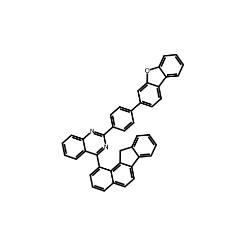 c1ccc2c(c1)Cc1c-2ccc2cccc(-c3nc(-c4ccc(-c5ccc6c(c5)oc5ccccc56)cc4)nc4ccccc34)c12